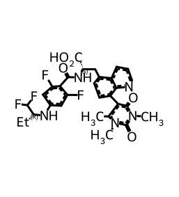 CC[C@@H](Nc1cc(F)c(C(=O)N[C@@H](Cc2ccc(-c3c(C)n(C)c(=O)n(C)c3=O)c3ncccc23)C(=O)O)c(F)c1)C(F)F